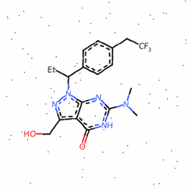 CCC(c1ccc(CC(F)(F)F)cc1)n1nc(CO)c2c(=O)[nH]c(N(C)C)nc21